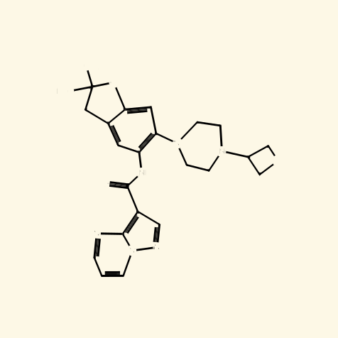 CC1(C)Cc2cc(NC(=O)c3cnn4cccnc34)c(N3CCN(C4COC4)CC3)cc2O1